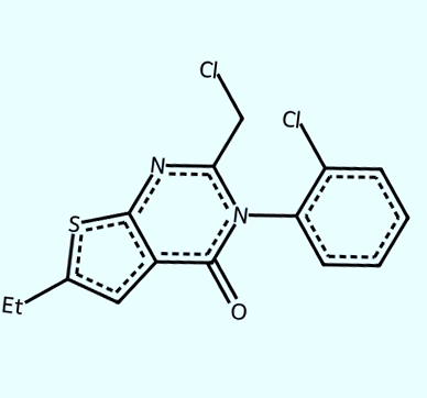 CCc1cc2c(=O)n(-c3ccccc3Cl)c(CCl)nc2s1